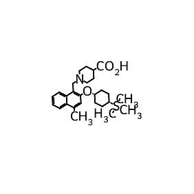 Cc1cc(O[C@H]2CC[C@H](S(C)(C)C)CC2)c(CN2CCC(C(=O)O)CC2)c2ccccc12